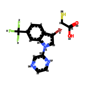 FC(F)(F)c1ccc2c(Br)cn(-c3cnccn3)c2c1.O=C(O)CS